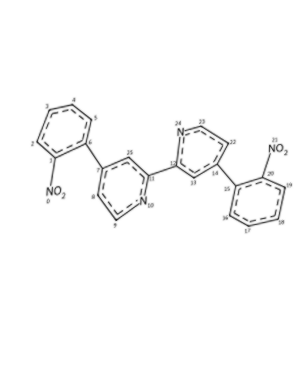 O=[N+]([O-])c1ccccc1-c1ccnc(-c2cc(-c3ccccc3[N+](=O)[O-])ccn2)c1